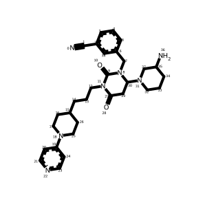 N#Cc1cccc(CN2C(=O)N(CCCC3CCN(c4ccncc4)CC3)C(=O)CC2N2CCCC(N)C2)c1